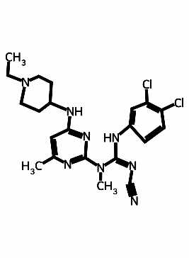 CCN1CCC(Nc2cc(C)nc(N(C)/C(=N\C#N)Nc3ccc(Cl)c(Cl)c3)n2)CC1